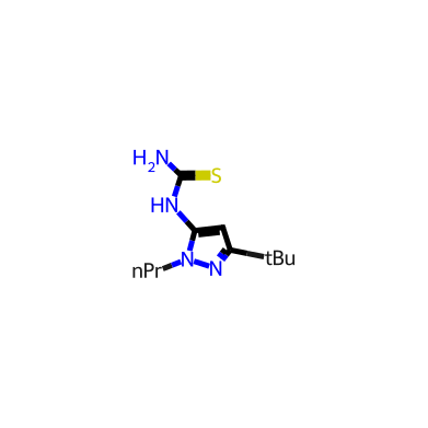 CCCn1nc(C(C)(C)C)cc1NC(N)=S